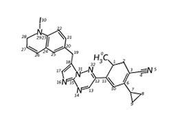 CC1CC(C#N)=C(C2CC2)C=C1c1cnc2ncc(Cc3ccc4c(c3)C=CCN4I)n2n1